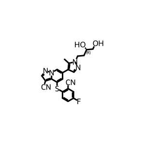 Cc1c(-c2cc(Sc3ccc(F)cc3C#N)c3c(C#N)cnn3c2)cnn1CC[C@@H](O)CO